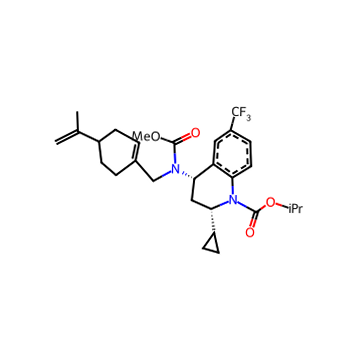 C=C(C)C1CC=C(CN(C(=O)OC)[C@H]2C[C@@H](C3CC3)N(C(=O)OC(C)C)c3ccc(C(F)(F)F)cc32)CC1